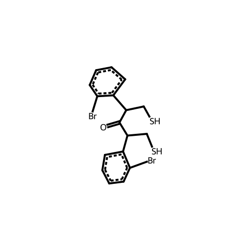 O=C(C(CS)c1ccccc1Br)C(CS)c1ccccc1Br